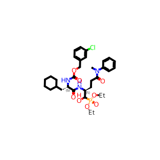 CCOP(=O)(OCC)C(O)[C@H](CCC(=O)N(C)c1ccccc1)NC(=O)[C@H](CC1CCCCC1)NC(=O)OCc1cccc(Cl)c1